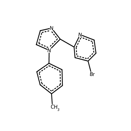 Cc1ccc(-n2ccnc2-c2cc(Br)ccn2)cc1